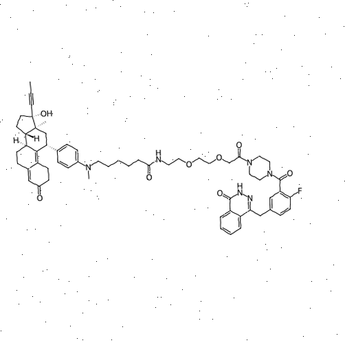 CC#C[C@]1(O)CC[C@H]2[C@@H]3CCC4=CC(=O)CCC4=C3[C@@H](c3ccc(N(C)CCCCCC(=O)NCCOCCOCC(=O)N4CCN(C(=O)c5cc(Cc6n[nH]c(=O)c7ccccc67)ccc5F)CC4)cc3)C[C@@]21C